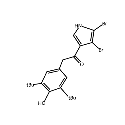 CC(C)(C)c1cc(CC(=O)c2c[nH]c(Br)c2Br)cc(C(C)(C)C)c1O